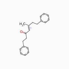 C/C(=C\C(=O)CCc1ccccc1)CCc1ccccc1